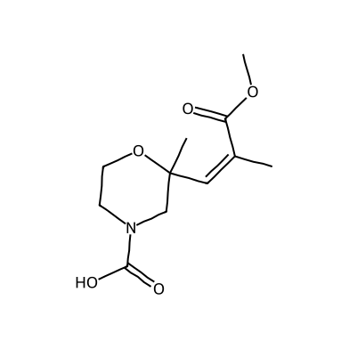 COC(=O)C(C)=CC1(C)CN(C(=O)O)CCO1